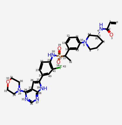 C=CC(=O)N[C@@H]1CCCN(c2cccc(C(C)S(=O)(=O)Nc3ccc(-c4cc5c(N6CCOCC6)ncnc5[nH]4)cc3F)c2)C1